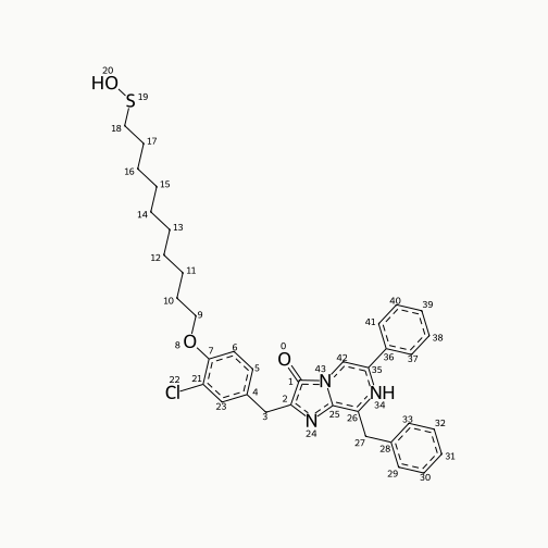 O=c1c(Cc2ccc(OCCCCCCCCCCSO)c(Cl)c2)nc2c(Cc3ccccc3)[nH]c(-c3ccccc3)cn1-2